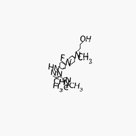 Cc1cnc(Nc2ccc(N3CCC(N(C)CCCCO)CC3)c(F)c2)nc1-c1cnn(C(C)C)c1